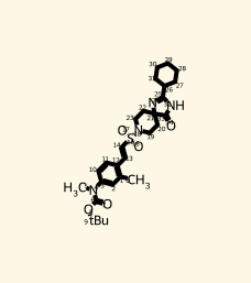 Cc1cc(N(C)C(=O)OC(C)(C)C)ccc1/C=C/S(=O)(=O)N1CCC2(CC1)N=C(C1CCCCC1)NC2=O